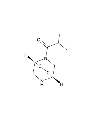 CC(C)C(=O)N1C[C@H]2CC[C@@H]1CN2